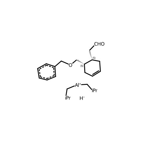 CC(C)[CH2][Al+][CH2]C(C)C.O=CC[C@@H]1CC=CC[C@@H]1COCc1ccccc1.[H-]